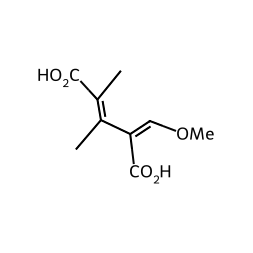 COC=C(C(=O)O)/C(C)=C(\C)C(=O)O